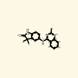 Cc1nc(Nc2ccc3c(c2)C(C)(C)C(=O)N3)c2ccccc2n1